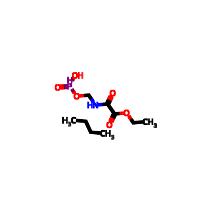 CCCC.CCOC(=O)C(=O)NCO[PH](=O)O